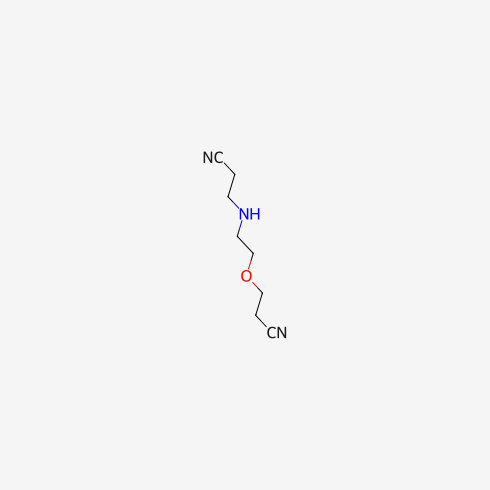 N#CCCNCCOCCC#N